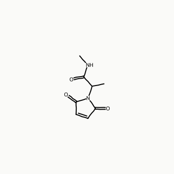 CNC(=O)C(C)N1C(=O)C=CC1=O